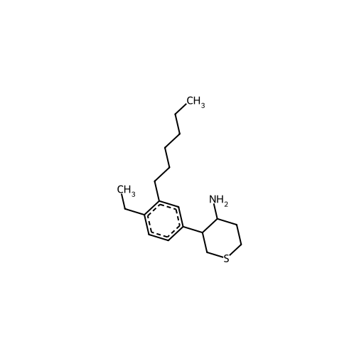 CCCCCCc1cc(C2CSCCC2N)ccc1CC